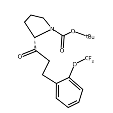 CC(C)(C)OC(=O)N1CCC[C@H]1C(=O)CCc1ccccc1OC(F)(F)F